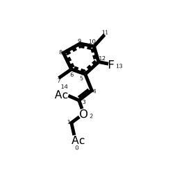 CC(=O)CO/C(=C/c1c(C)ccc(C)c1F)C(C)=O